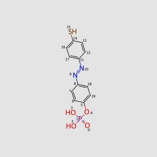 O=P(O)(O)Oc1ccc(N=Nc2ccc(S)cc2)cc1